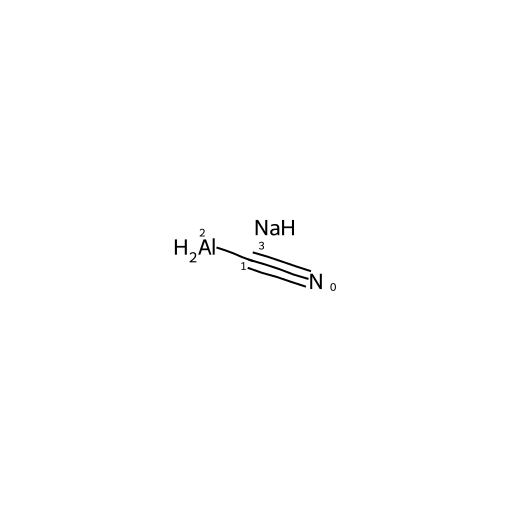 N#[C][AlH2].[NaH]